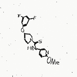 COc1ccc(NC(=S)N2CCC(Oc3cc(F)cc(F)c3)CC2)cn1